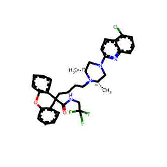 C[C@@H]1CN(c2ccc3c(Cl)cccc3n2)C[C@H](C)N1CCCCC1(C(=O)NCC(F)(F)F)c2ccccc2Oc2ccccc21